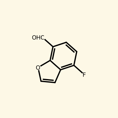 O=Cc1ccc(F)c2ccoc12